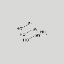 CCCO.CCCO.CCO.N